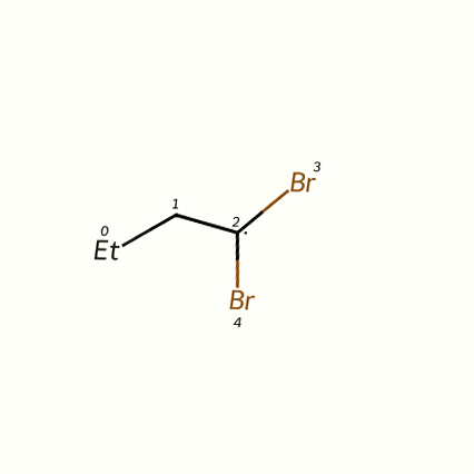 [CH2]CC[C](Br)Br